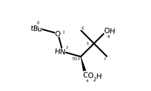 CC(C)(C)ON[C@H](C(=O)O)C(C)(C)O